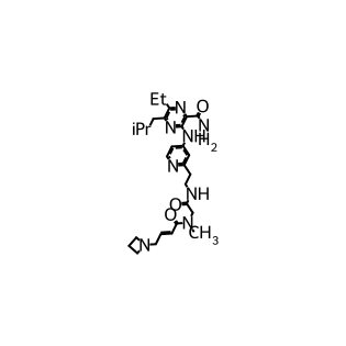 CCc1nc(C(N)=O)c(Nc2ccnc(CCNC(=O)CN(C)C(=O)C=CCN3CCC3)c2)nc1CC(C)C